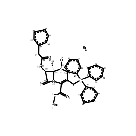 CC(C)(C)OC(=O)C1=C(C[P+](c2ccccc2)(c2ccccc2)c2ccccc2)C[S@+]([O-])[C@@H]2[C@H](NC(=O)Cc3ccccc3)C(=O)N12.[Br-]